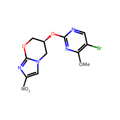 COc1nc(O[C@@H]2COc3nc([N+](=O)[O-])cn3C2)ncc1Br